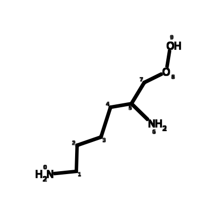 NCCCCC(N)COO